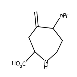 C=C1CC(C(=O)O)NCCC1CCC